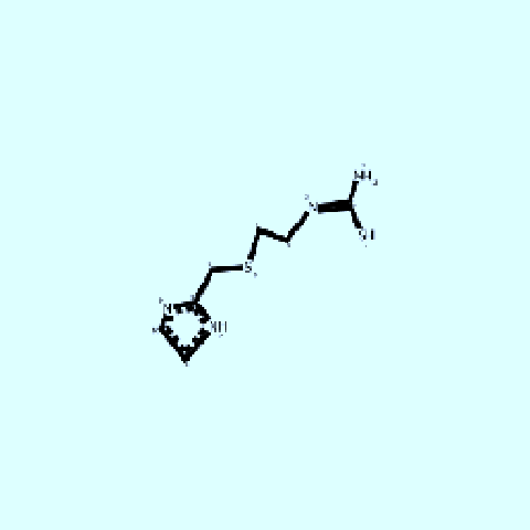 NC(S)=NCCSCc1ncc[nH]1